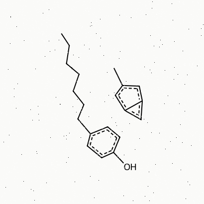 CCCCCCCc1ccc(O)cc1.Cc1cc2cc-2c1